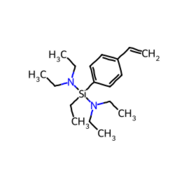 C=Cc1ccc([Si](CC)(N(CC)CC)N(CC)CC)cc1